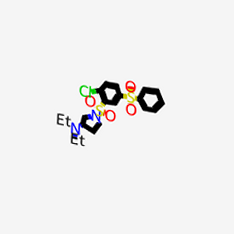 CCN(CC)C1CCN(S(=O)(=O)c2cc(S(=O)(=O)c3ccccc3)ccc2Cl)C1